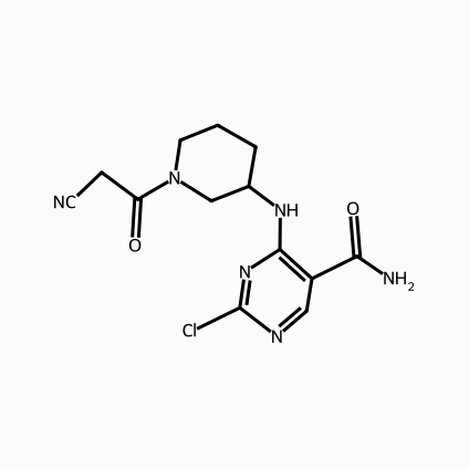 N#CCC(=O)N1CCCC(Nc2nc(Cl)ncc2C(N)=O)C1